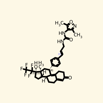 Cc1noc(C)c1NC(=O)NC/C=C/c1ccc([C@H]2C[C@@]3(C)[C@@H](CC[C@@]3(O)C(F)(F)C(F)(F)F)[C@@H]3CCC4=CC(=O)CCC4=C32)cc1